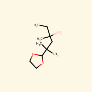 BC(C)(CC)CC(C)(C)C1OCCO1